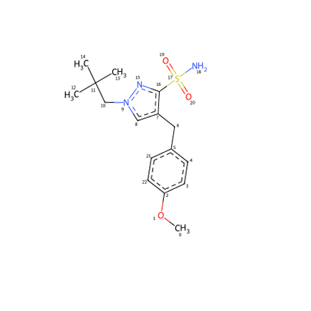 COc1ccc(Cc2cn(CC(C)(C)C)nc2S(N)(=O)=O)cc1